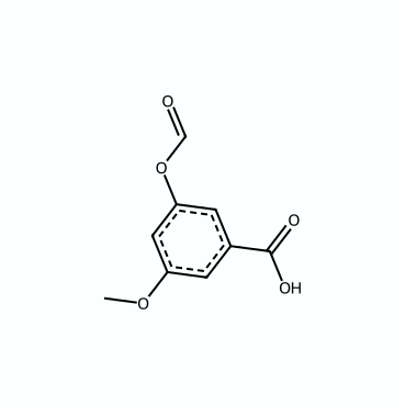 COc1cc(OC=O)cc(C(=O)O)c1